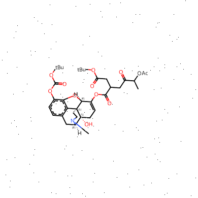 CC(=O)OC(C)C(=O)CC(CC(=O)OC(C)(C)C)C(=O)OC1=CC[C@@]2(O)[C@H]3Cc4ccc(OC(=O)OC(C)(C)C)c5c4[C@@]2(CCN3C)[C@H]1O5